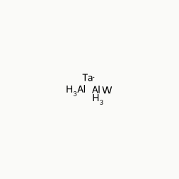 [AlH3].[AlH3].[Ta].[W]